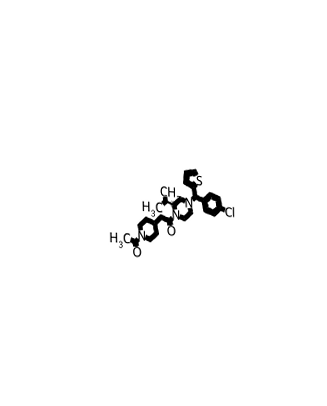 CC(=O)N1CCC(CC(=O)N2CCN(C(c3ccc(Cl)cc3)c3cccs3)C[C@@H]2C(C)C)CC1